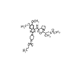 CCOC(=O)N1CCN(c2nc(NC(=O)C3CCCN3C(=O)C(C)CSC(C)=O)c3cc(OC)c(OC)cc3n2)CC1